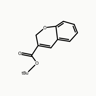 CC(C)(C)OC(=O)C1=Cc2ccccc2OC1